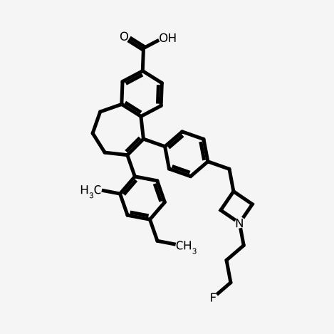 CCc1ccc(C2=C(c3ccc(CC4CN(CCCF)C4)cc3)c3ccc(C(=O)O)cc3CCC2)c(C)c1